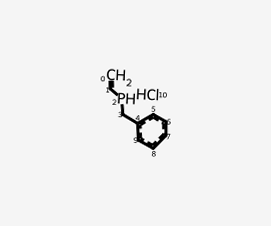 C=CPCc1ccccc1.Cl